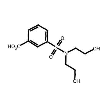 O=C(O)c1cccc(S(=O)(=O)N(CCO)CCO)c1